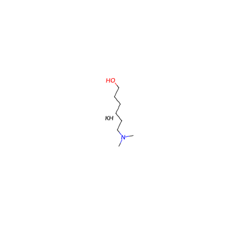 CN(C)CCCCCCO.[KH]